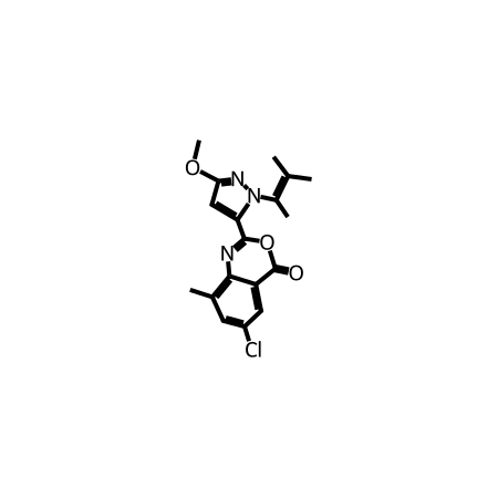 COc1cc(-c2nc3c(C)cc(Cl)cc3c(=O)o2)n(C(C)=C(C)C)n1